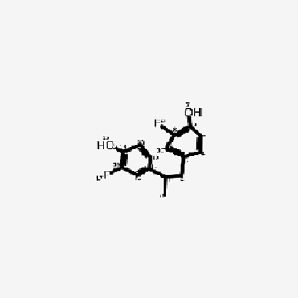 CC(Cc1ccc(O)c(F)c1)c1ccc(O)c(F)c1